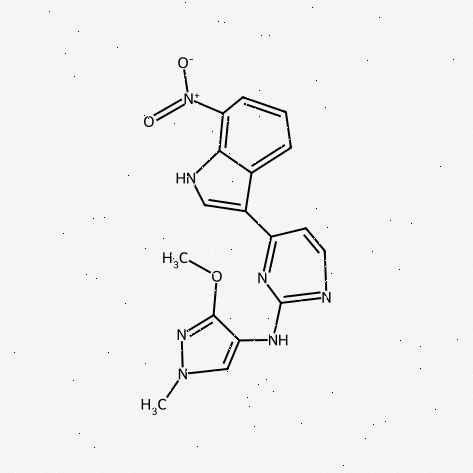 COc1nn(C)cc1Nc1nccc(-c2c[nH]c3c([N+](=O)[O-])cccc23)n1